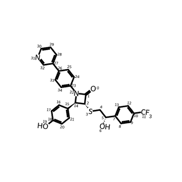 O=C1[C@H](SC[C@@H](O)c2ccc(C(F)(F)F)cc2)[C@@H](c2ccc(O)cc2)N1c1ccc(-c2cccnc2)cc1